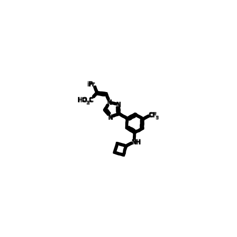 CC(C)/C(=C/n1cnc(-c2cc(NC3CCC3)cc(C(F)(F)F)c2)n1)C(=O)O